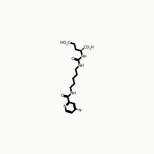 O=C(O)CC[C@H](NC(=O)NCCCCCNC(=O)c1cc([18F])ccn1)C(=O)O